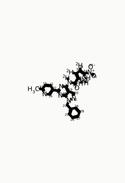 [2H]C1=C(C(=O)N([2H])c2nc(-c3ccc(C)nc3)nc3c2cnn3Cc2ccccc2)[SH]([2H])([2H])([2H])C([N+](=O)[O-])=C1[2H]